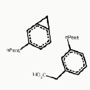 CCCCCc1ccc2c(c1)C2.CCCCCc1cccc(CC(=O)O)c1